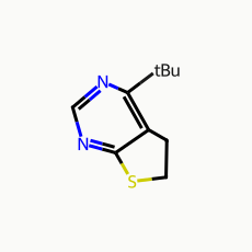 CC(C)(C)c1ncnc2c1CCS2